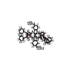 CC(C)(C)c1ccc2c(c1)N(c1ccc(-c3ccccc3)s1)/C(=C1\N(c3ccc(-c4ccccc4)s3)c3ccc(C(C)(C)C)cc3N1c1ccc(-c3ccccc3)s1)N2c1ccc(-c2ccccc2)s1